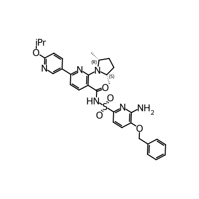 CC(C)Oc1ccc(-c2ccc(C(=O)NS(=O)(=O)c3ccc(OCc4ccccc4)c(N)n3)c(N3[C@H](C)CC[C@@H]3C)n2)cn1